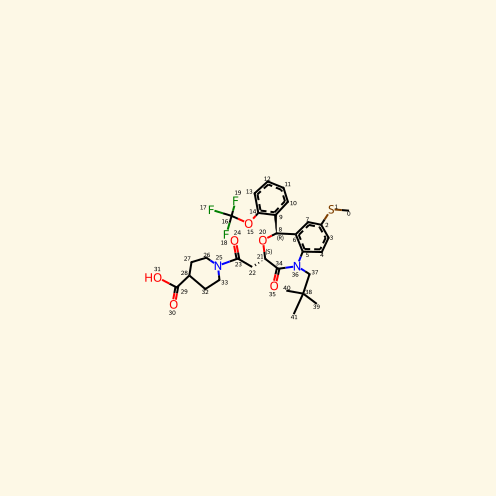 CSc1ccc2c(c1)[C@H](c1ccccc1OC(F)(F)F)O[C@@H](CC(=O)N1CCC(C(=O)O)CC1)C(=O)N2CC(C)(C)C